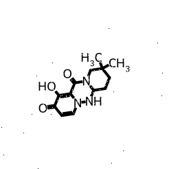 CC1(C)CCC2Nn3ccc(=O)c(O)c3C(=O)N2C1